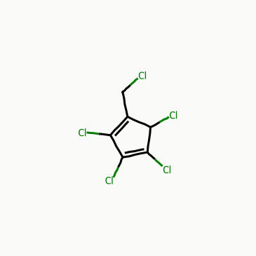 ClCC1=C(Cl)C(Cl)=C(Cl)C1Cl